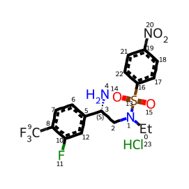 CCN(C[C@@H](N)c1ccc(C(F)(F)F)c(F)c1)S(=O)(=O)c1ccc([N+](=O)[O-])cc1.Cl